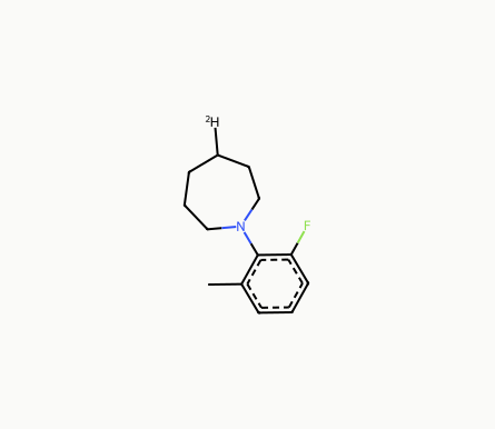 [2H]C1CCCN(c2c(C)cccc2F)CC1